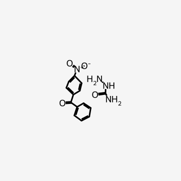 NNC(N)=O.O=C(c1ccccc1)c1ccc([N+](=O)[O-])cc1